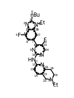 CCCCc1nc2c(F)cc(-c3nc(Nc4ccc5c(n4)CCN(CC)C5)ncc3F)cc2n1CC